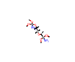 CO[Si](N)(OC)OC(C)(C)[Si](C)(C)O[C@@H](C)[Si](N)(OC)OC